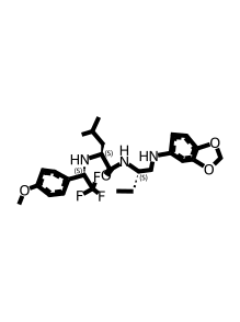 CC[C@@H](CNc1ccc2c(c1)OCO2)NC(=O)[C@H](CC(C)C)N[C@@H](c1ccc(OC)cc1)C(F)(F)F